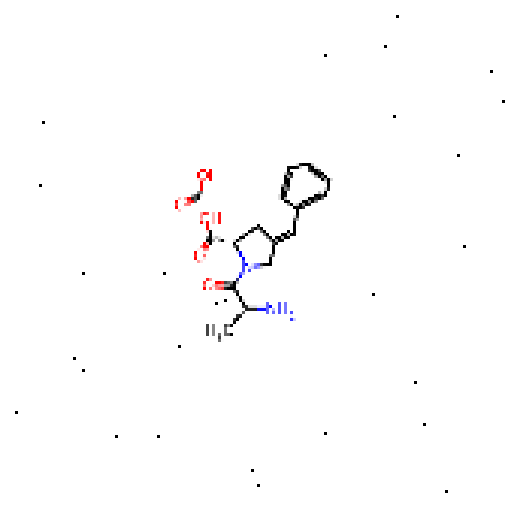 C[C@H](N)C(=O)N1CC(=Cc2ccccc2)C[C@H]1C(=O)O.O=CO